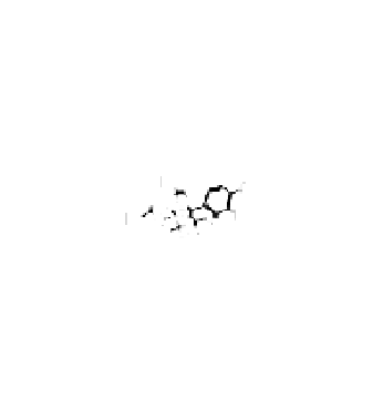 CCC(=O)O[Si](OC(=O)CC)(OC(=O)CC)C(F)(F)OC(=O)c1ccc(F)c(F)c1F